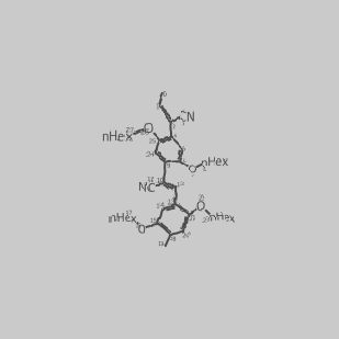 C/C=C(\C#N)c1cc(OCCCCCC)c(/C(C#N)=C/c2cc(OCCCCCC)c(C)cc2OCCCCCC)cc1OCCCCCC